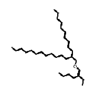 CCCCCCCCCCCCC(CCCCCCCCCC)CO/C=C(/CC)CCCC